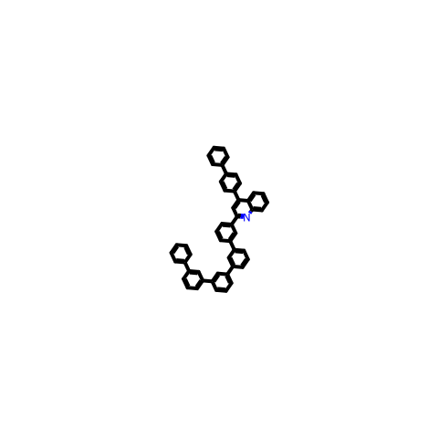 c1ccc(-c2ccc(-c3cc(-c4cccc(-c5cccc(-c6cccc(-c7cccc(-c8ccccc8)c7)c6)c5)c4)nc4ccccc34)cc2)cc1